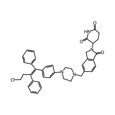 O=C1CCC(N2Cc3cc(CN4CCN(c5ccc(/C(=C(/CCCl)c6ccccc6)c6ccccc6)cc5)CC4)ccc3C2=O)C(=O)N1